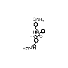 NC(=O)c1ccc(CCNC(C(=O)c2c[nH]c3cc(-c4cnn(CCO)c4)ccc23)c2ccccc2)cc1